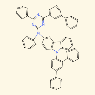 c1ccc(-c2cccc(-c3nc(-c4ccccc4)nc(-n4c5ccccc5c5cc6c(cc54)c4ccccc4n6-c4ccc(-c5ccccc5)cc4-c4ccccc4)n3)c2)cc1